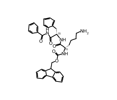 NCCCC[C@H](NC(=O)OCC1c2ccccc2-c2ccccc21)C(=O)N[C@@H](Cc1ccccc1)C(=O)NC(=O)c1ccccc1